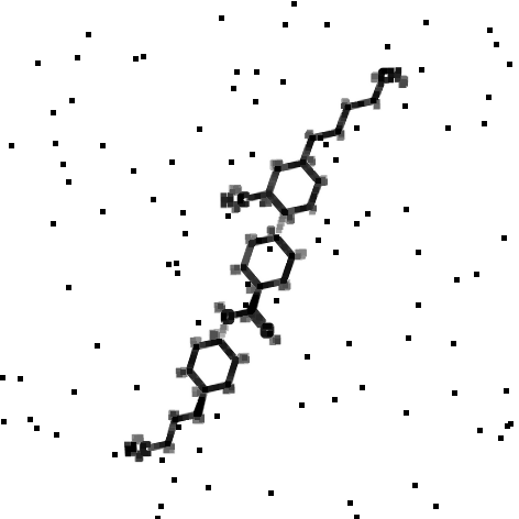 CCCCCC1CCC([C@H]2CC[C@H](C(=O)O[C@H]3CC[C@H](CCCC)CC3)CC2)C(C)C1